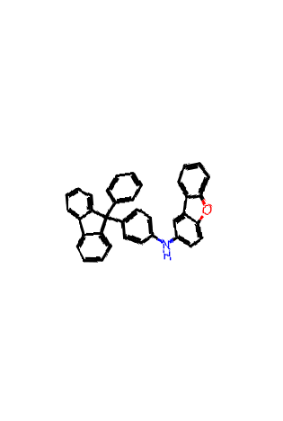 c1ccc(C2(c3ccc(Nc4ccc5oc6ccccc6c5c4)cc3)c3ccccc3-c3ccccc32)cc1